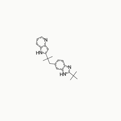 CC(C)(C)c1nc2ccc(CC(C)(C)c3cc4ncccc4[nH]3)cc2[nH]1